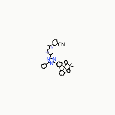 C=C(/C=C\C=C(/C)C1=CC(C#N)=CCC1)c1nc(-c2ccccc2)nc(-c2ccc3c(c2)-c2ccccc2C32c3ccccc3C(C)(C)c3ccccc32)n1